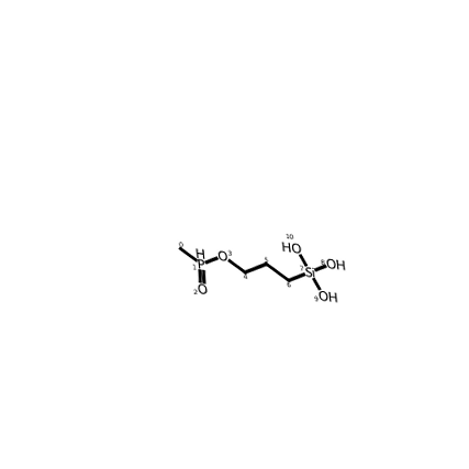 C[PH](=O)OCCC[Si](O)(O)O